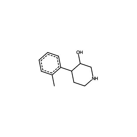 Cc1ccccc1C1CCNCC1O